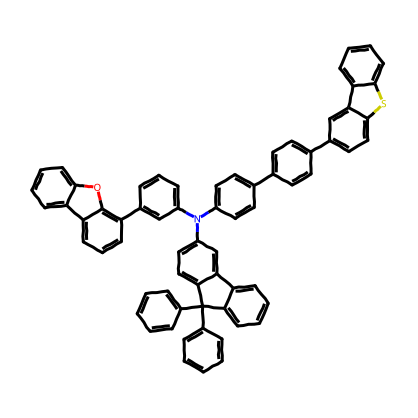 c1ccc(C2(c3ccccc3)c3ccccc3-c3cc(N(c4ccc(-c5ccc(-c6ccc7sc8ccccc8c7c6)cc5)cc4)c4cccc(-c5cccc6c5oc5ccccc56)c4)ccc32)cc1